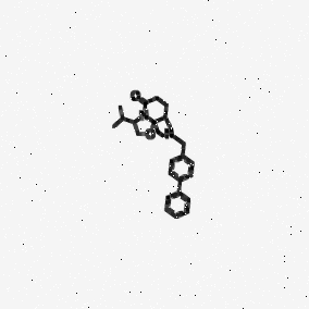 CC(C)C1COC23CCN(Cc4ccc(-c5ccccc5)cc4)CC2CCC(=O)N13